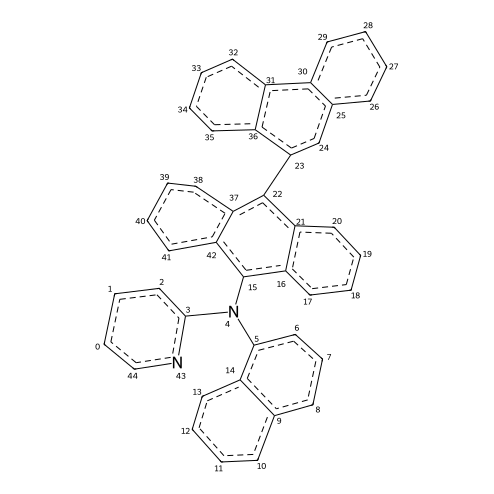 c1ccc(N(c2cccc3ccccc23)c2c3ccccc3c(-c3cc4ccccc4c4ccccc34)c3ccccc23)nc1